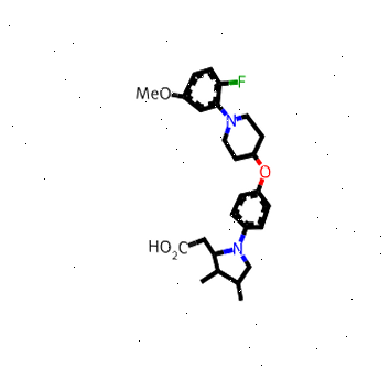 COc1ccc(F)c(N2CCC(Oc3ccc(N4CC(C)C(C)C4CC(=O)O)cc3)CC2)c1